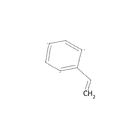 C=Cc1[c]c[c]c[c]1